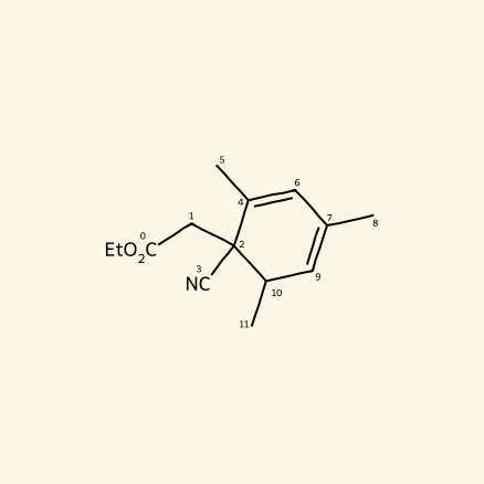 CCOC(=O)CC1(C#N)C(C)=CC(C)=CC1C